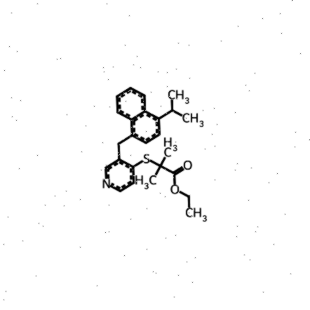 CCOC(=O)C(C)(C)Sc1ccncc1Cc1ccc(C(C)C)c2ccccc12